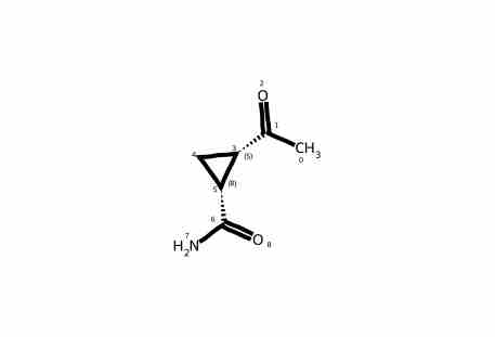 CC(=O)[C@H]1C[C@H]1C(N)=O